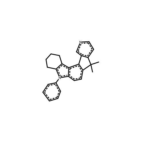 CC1(C)c2ccncc2-c2c1ccc1c2c2c(n1-c1ccccc1)CCCC2